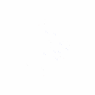 C=CCOc1cc(C(Nc2ccc(C(N)=NCC(=O)O)cc2)c2nn(-c3ncccn3)c(=O)[nH]2)ccc1OC